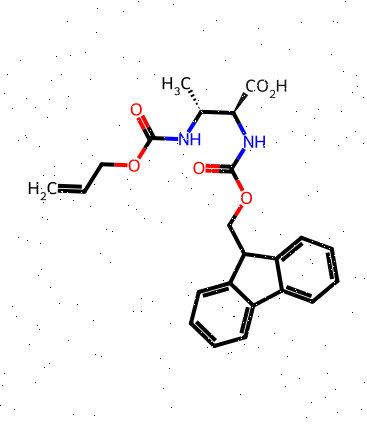 C=CCOC(=O)N[C@H](C)[C@H](NC(=O)OCC1c2ccccc2-c2ccccc21)C(=O)O